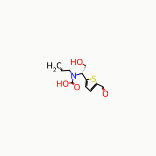 C=CCN(C(=O)O)[C@H](CO)c1ccc(C=O)s1